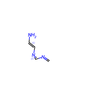 C=N/C=N\C=C\N